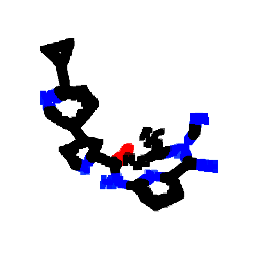 CC(N(C=N)C(=N)c1cccc(NC(=O)c2cc(-c3ccc(C4CC4)nc3)ccn2)n1)C(F)(F)F